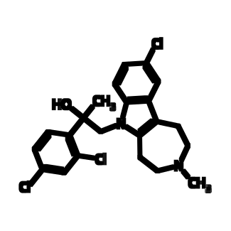 CN1CCc2c(n(CC(C)(O)c3ccc(Cl)cc3Cl)c3ccc(Cl)cc23)CC1